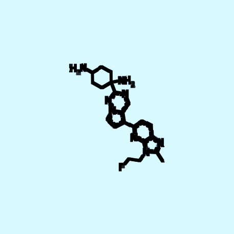 Cc1nc2ccc(-c3ccn4nc(C5(N)CCC(N)CC5)ncc34)nc2n1CCF